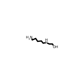 NCCCCCNCCO